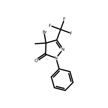 CC1(Br)C(=O)N(c2ccccc2)N=C1C(F)(F)F